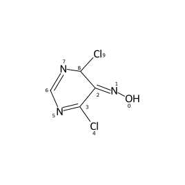 ON=C1C(Cl)=NC=NC1Cl